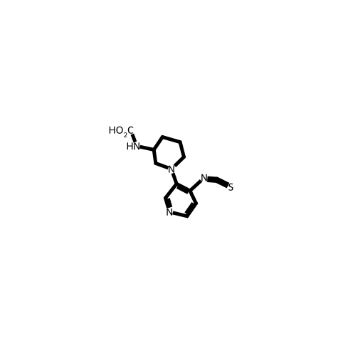 O=C(O)NC1CCCN(c2cnccc2N=C=S)C1